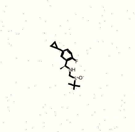 C[C@H](NC[S+]([O-])C(C)(C)C)c1cc(C2CC2)ccc1F